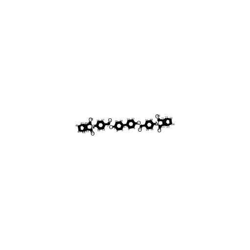 O=C(Oc1ccc(-c2ccc(OC(=O)c3ccc(N4C(=O)C5C6C=CC(C6)C5C4=O)cc3)cc2)cc1)c1ccc(N2C(=O)C3C4C=CC(C4)C3C2=O)cc1